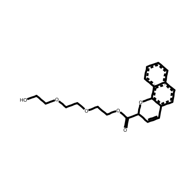 O=C(OCCOCCOCCO)C1C=Cc2ccc3ccccc3c2O1